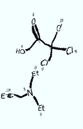 CCN(CC)CC.O=C(O)C(Cl)(Cl)Cl